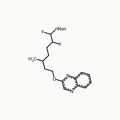 CCCCCCCCCC(F)C(F)CCC(C)CCOc1cnc2ccccc2n1